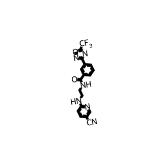 N#Cc1ccc(NCCNC(=O)c2cccc(-c3noc(C(F)(F)F)n3)c2)nc1